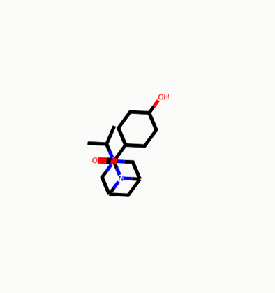 CC(C)N1CC2CC(C1)N2C(=O)C1CCC(O)CC1